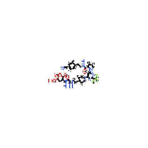 N#Cc1ccc(CCNC(=O)[C@@H]2CCCN2c2cc(N3CCC(CCNC(=O)NC(CC(=O)O)C(=O)O)CC3)nc(C(F)(F)F)n2)cc1